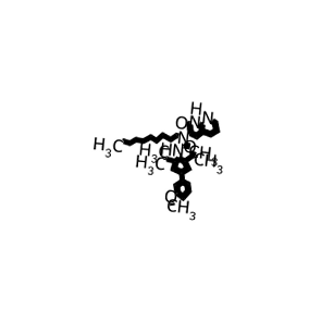 CCCCCCCCCCN(C(=O)Nc1c(C(C)C)cc(-c2cccc(OC)c2)cc1C(C)C)c1cc2cccnc2[nH]c1=O